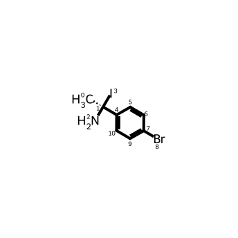 C[C@](N)(I)c1ccc(Br)cc1